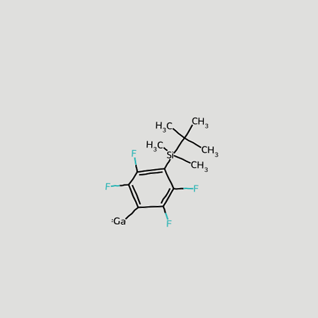 CC(C)(C)[Si](C)(C)c1c(F)c(F)[c]([Ga])c(F)c1F